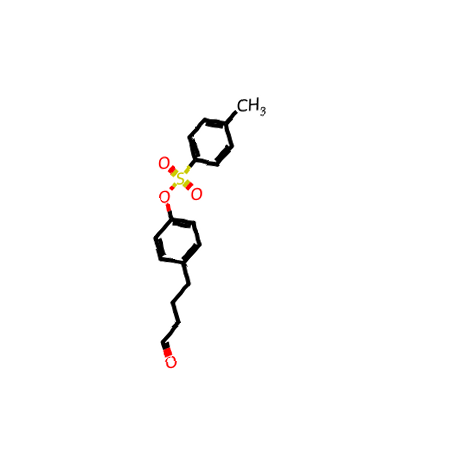 Cc1ccc(S(=O)(=O)Oc2ccc(CCCC=O)cc2)cc1